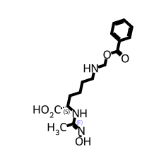 C/C(=N\O)N[C@@H](CCCCNCOC(=O)c1ccccc1)C(=O)O